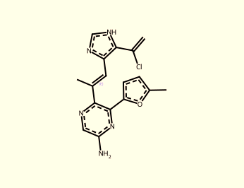 C=C(Cl)c1[nH]cnc1/C=C(\C)c1ncc(N)nc1-c1ccc(C)o1